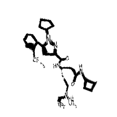 CC(C)CN(C)CC[C@@H](CC(=O)NC1CCC1)NC(=O)c1cc(-c2ccccc2C(F)(F)F)n(C2CCCC2)n1